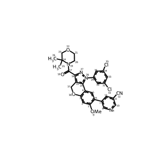 COc1cc2c(cc1-c1cncc(C#N)c1)-c1c(c(C(=O)N3CCOCC3(C)C)nn1-c1cc(Cl)cc(Cl)c1)CO2